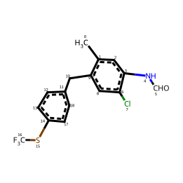 Cc1cc(NC=O)c(Cl)cc1Cc1ccc(SC(F)(F)F)cc1